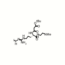 CNCCNC(=O)[C@H](CCCN/C(N)=N/PI)NC(=O)CC(=O)OC(C)(C)C